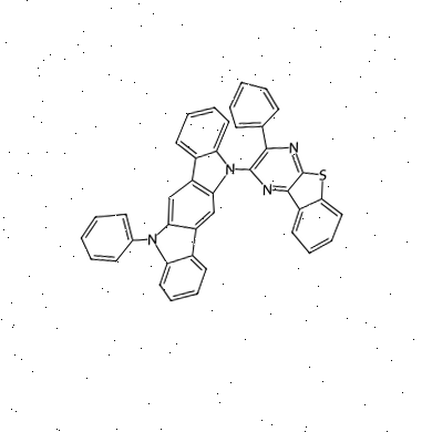 c1ccc(-c2nc3sc4ccccc4c3nc2-n2c3ccccc3c3cc4c(cc32)c2ccccc2n4-c2ccccc2)cc1